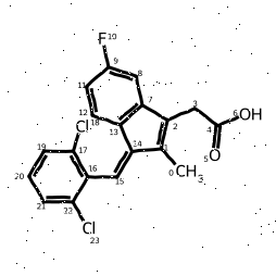 CC1=C(CC(=O)O)c2cc(F)ccc2/C1=C\c1c(Cl)cccc1Cl